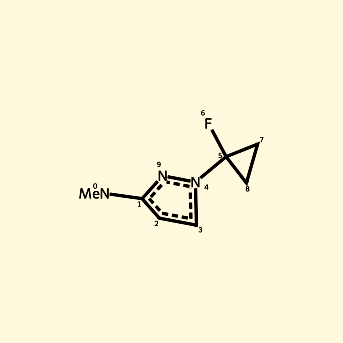 CNc1ccn(C2(F)CC2)n1